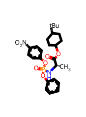 C[C@H](NP(=O)(Oc1ccccc1)Oc1ccc([N+](=O)[O-])cc1)C(=O)OC1CCC(C(C)(C)C)CC1